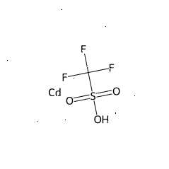 O=S(=O)(O)C(F)(F)F.[Cd]